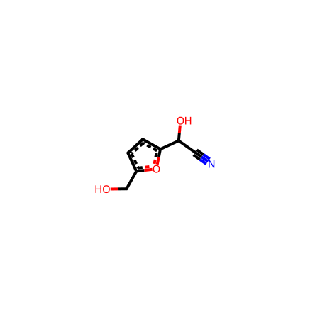 N#CC(O)c1ccc(CO)o1